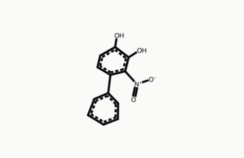 O=[N+]([O-])c1c(-c2[c]cccc2)ccc(O)c1O